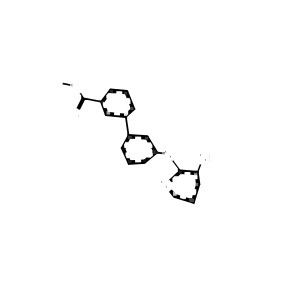 COC(=O)c1cccc(-c2cccc(Nc3ncccc3N)c2)c1